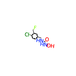 O=C(NO)NCc1ccc(Cl)c(CF)c1